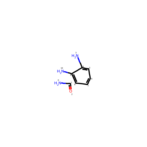 NC=O.Nc1ccccc1N